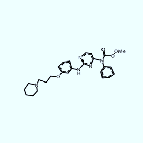 COOC(=O)N(c1ccccc1)c1ccnc(Nc2cccc(OCCCN3CCCCC3)c2)n1